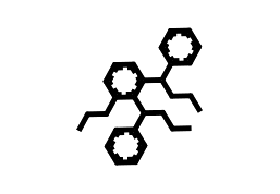 CCCc1cccc(C(CCC)c2ccccc2)c1C(CCC)c1ccccc1